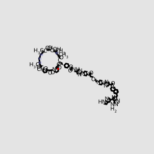 CO[C@H]1CC2CCCC(O2)C(=O)C(=O)N2CCCC[C@H]2C(=O)O[C@H](CC[C@H]2CC[C@H](OC(=O)NCc3cnc(N4CCN(C(=O)CCOCCN5CCN(c6ncc(C(=O)N7CCc8cc(Cn9nc(-c%10cnc%11[nH]ccc%11c%10)c%10c(N)ncnc%109)ccc8C7)cn6)CC5)CC4)nc3)CC2)CC(=O)[C@H](C)/C=C(\C)[C@@H](O)CC(=O)[C@H](C)C[C@H](C)/C=C/C=C/C=C/1C